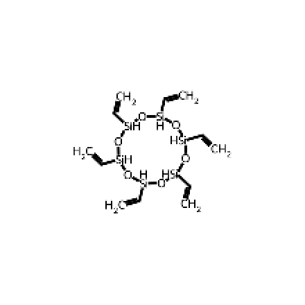 C=C[SiH]1O[SiH](C=C)O[SiH](C=C)O[SiH](C=C)O[SiH](C=C)O[SiH](C=C)O1